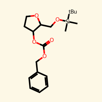 CC(C)(C)[Si](C)(C)OCC1OCCC1OC(=O)OCc1ccccc1